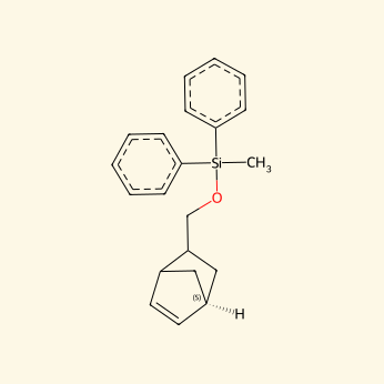 C[Si](OCC1C[C@H]2C=CC1C2)(c1ccccc1)c1ccccc1